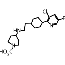 O=C(O)N1CCC(NCCC2CCC(c3ncc(F)cc3Cl)CC2)CC1